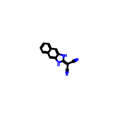 N#CC(C#N)=C1Nc2cc3ccccc3cc2N1